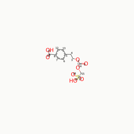 O=C(OCCc1ccc(C(=O)O)cc1)OCS(=O)(=O)O